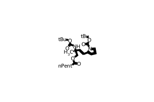 CCCCCC(=O)OC[C@@](C)(C=Cc1cccn1C(=O)OC(C)(C)C)NC(=O)OC(C)(C)C